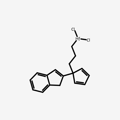 [Cl][Hf]([Cl])[CH2]CCC1(C2=Cc3ccccc3C2)C=CC=C1